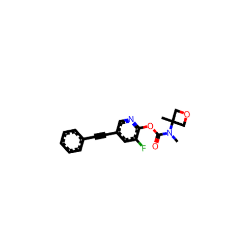 CN(C(=O)Oc1ncc(C#Cc2ccccc2)cc1F)C1(C)COC1